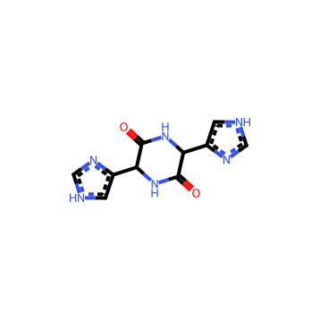 O=C1NC(c2c[nH]cn2)C(=O)NC1c1c[nH]cn1